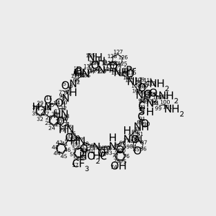 CC(C)C[C@H]1NC(=O)[C@H](C)N(C)C(=O)C(CCC(N)=O)NC(=O)C(Cc2ccc(-c3ccccc3)cc2)NC(=O)[C@H](CCc2ccccc2)NC(=O)C(Cc2cccc(C(F)(F)F)c2)NC(=O)[C@H](CC(=O)O)NC(=O)C(Cc2ccc(O)cc2)NC(=O)C(CN2CCOCC2)NC(=O)CSC[C@@H](C(=O)N[C@@H](CCN)C(N)=O)NC(=O)C(CCCN)NC(=O)C(C(C)C)NC(=O)C(CC2CCCCC2)NC(=O)[C@H](CCN)NC1=O